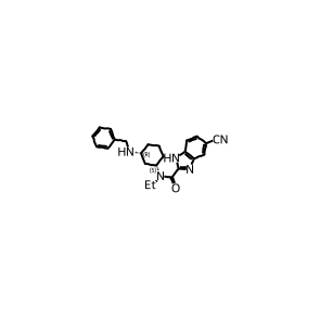 CCN(C(=O)c1nc2cc(C#N)ccc2[nH]1)[C@H]1CCC[C@@H](NCc2ccccc2)C1